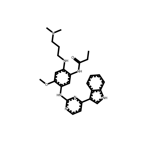 CCC(=O)Nc1cc(Nc2nccc(-c3c[nH]c4ccccc34)n2)c(OC)cc1NCCCN(C)C